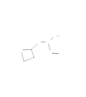 CCC[S][Sb]([S]C)[S]C1CCS1